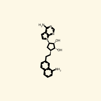 Nc1cccc2ccc(CC[C@H]3C[C@@H](n4ccc5c(N)ncnc54)[C@H](O)[C@@H]3O)cc12